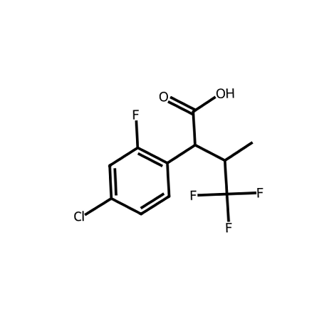 CC(C(C(=O)O)c1ccc(Cl)cc1F)C(F)(F)F